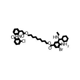 CCNC(c1cc(C(=O)OCCCCCCCCCOC(=O)Cc2ccccc2Nc2c(Cl)cccc2Cl)cc(Br)c1N)C1CCCCC1